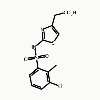 Cc1c(Cl)cccc1S(=O)(=O)Nc1nc(CC(=O)O)cs1